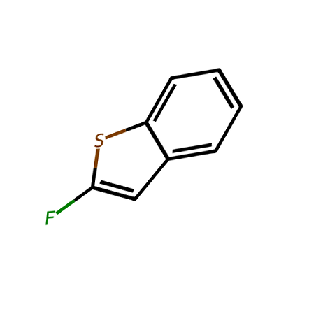 Fc1cc2ccccc2s1